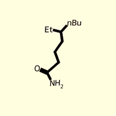 CCCCC(CC)CCCC(N)=O